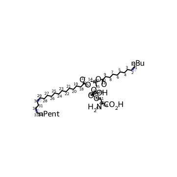 CCCC/C=C\CCCCCCCC(=O)O[C@H](COC(=O)CCCCCCCCCCC/C=C\C/C=C\CCCCC)COP(=O)(O)OC[C@H](N)C(=O)O